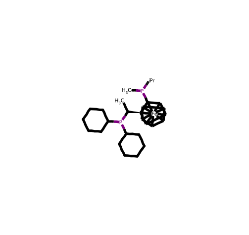 CC(C)P(C)[C]12[CH]3[CH]4[CH]5[C@@]1(C(C)P(C1CCCCC1)C1CCCCC1)[Fe]43521678[CH]2[CH]1[CH]6[CH]7[CH]28